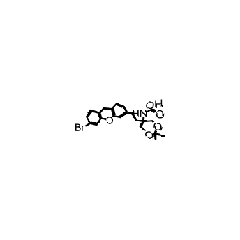 CC1(C)OCC(CCc2ccc3c(c2)Oc2cc(Br)ccc2C3)(NC(=O)O)CO1